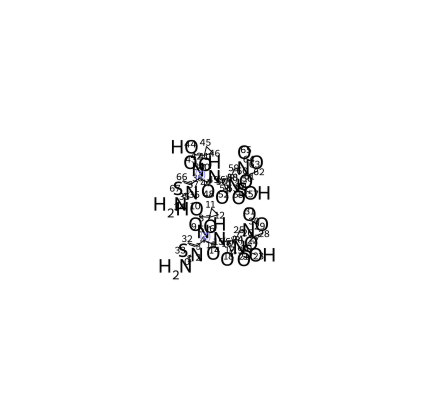 Nc1nc(/C(=N/OC2(C(=O)O)CC2)C(=O)N[C@@H]2C(=O)N(S(=O)(=O)O)[C@@H]2CN2CCOC2=O)cs1.Nc1nc(/C(=N/OC2(C(=O)O)CC2)C(=O)N[C@@H]2C(=O)N(S(=O)(=O)O)[C@@H]2CN2CCOC2=O)cs1